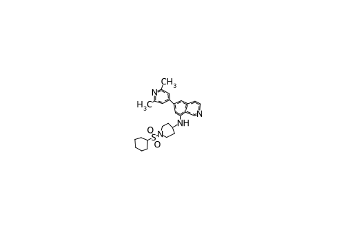 Cc1cc(-c2cc(NC3CCN(S(=O)(=O)C4CCCCC4)CC3)c3cnccc3c2)cc(C)n1